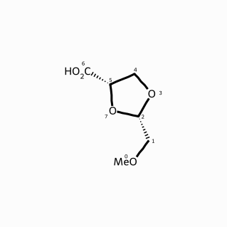 COC[C@H]1OC[C@@H](C(=O)O)O1